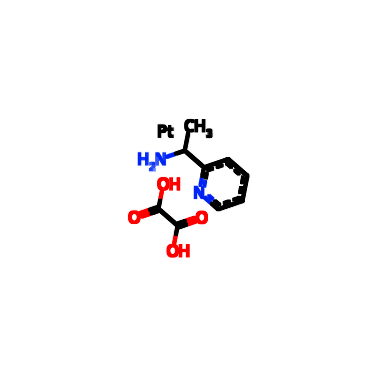 CC(N)c1ccccn1.O=C(O)C(=O)O.[Pt]